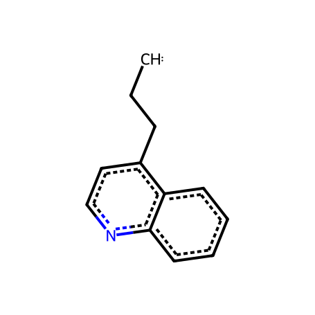 [CH]CCc1ccnc2ccccc12